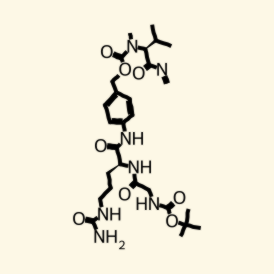 C=NC(=O)[C@H](C(C)C)N(C)C(=O)OCc1ccc(NC(=O)[C@H](CCCNC(N)=O)NC(=O)CNC(=O)OC(C)(C)C)cc1